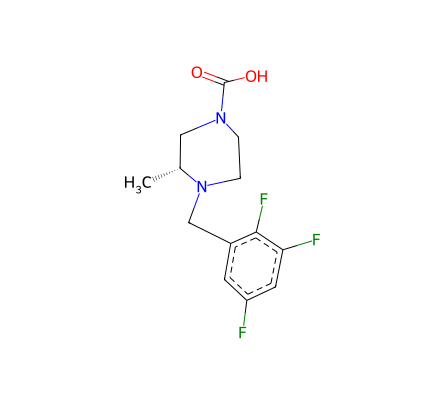 C[C@@H]1CN(C(=O)O)CCN1Cc1cc(F)cc(F)c1F